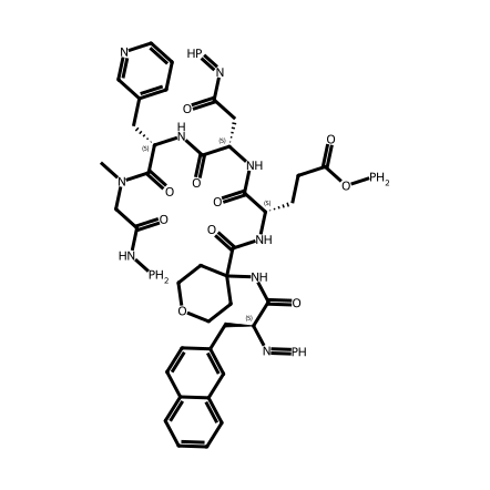 CN(CC(=O)NP)C(=O)[C@H](Cc1cccnc1)NC(=O)[C@H](CC(=O)N=P)NC(=O)[C@H](CCC(=O)OP)NC(=O)C1(NC(=O)[C@H](Cc2ccc3ccccc3c2)N=P)CCOCC1